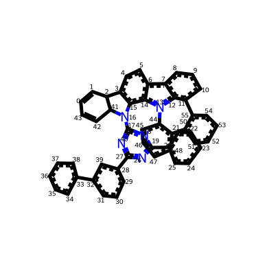 C1=CC2c3ccc4c5cccc6c5n(c4c3N(c3nc(-c4ccccc4)nc(-c4cccc(-c5ccccc5)c4)n3)C2C=C1)-c1ccccc1-c1ccccc1-6